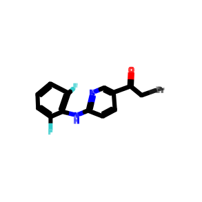 CC(C)CC(=O)c1ccc(Nc2c(F)cccc2F)nc1